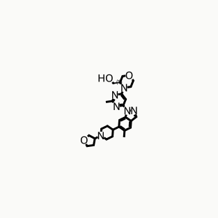 Cc1nc(N2CCOC[C@@H]2CO)cc(-n2ncc3cc(C)c(C4CCN(C5CCOC5)CC4)cc32)n1